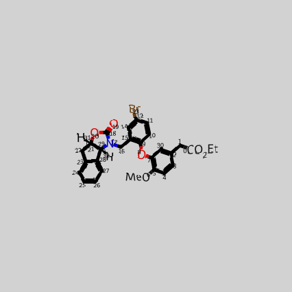 CCOC(=O)Cc1ccc(OC)c(Oc2ccc(Br)cc2CN2C(=O)O[C@H]3Cc4ccccc4[C@H]32)c1